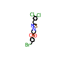 O=S(=O)(c1ccc(CBr)cc1)C1CCN(c2nc(Cc3ccc(Cl)c(Cl)c3)cs2)CC1